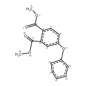 COC(=O)c1ccc(Oc2cccnc2)cc1C(=O)OC